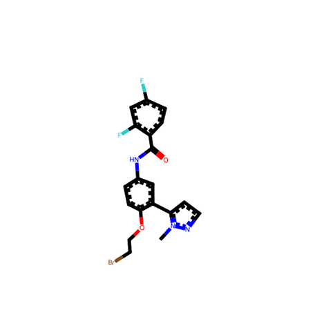 Cn1nccc1-c1cc(NC(=O)c2ccc(F)cc2F)ccc1OCCBr